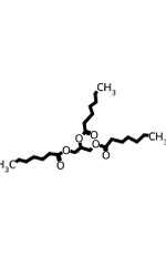 CCCCCCC(=O)O[CH]C(COC(=O)CCCCCC)OC(=O)CCCCCC